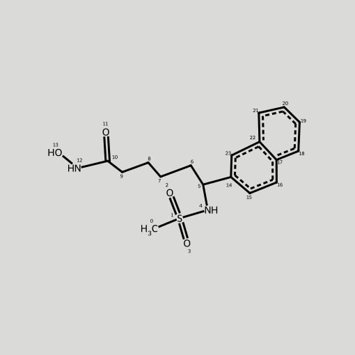 CS(=O)(=O)NC(CCCCC(=O)NO)c1ccc2ccccc2c1